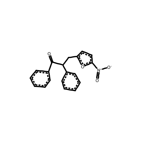 O=C(c1ccccc1)C(Cc1ccc([N+](=O)[O-])o1)c1ccccc1